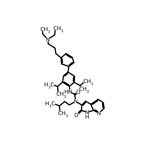 CCN(CC)CCCc1cccc(-c2cc(C(C)C)c(NC(=O)N(CCC(C)C)c3cc4cccnc4[nH]c3=O)c(C(C)C)c2)c1